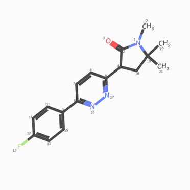 CN1C(=O)C(c2ccc(-c3ccc(F)cc3)nn2)CC1(C)C